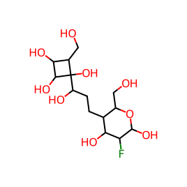 OCC1OC(O)C(F)C(O)C1CCC(O)C1(O)C(O)C(O)C1CO